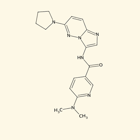 CN(C)c1ccc(C(=O)Nc2cnc3ccc(N4CCCC4)nn23)cn1